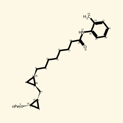 CCCCC[C@H]1C[C@H]1C[C@H]1C[C@H]1CCCCCCCC(=O)Nc1ccccc1C